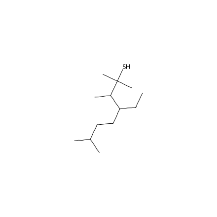 CCC(CCC(C)C)C(C)C(C)(C)S